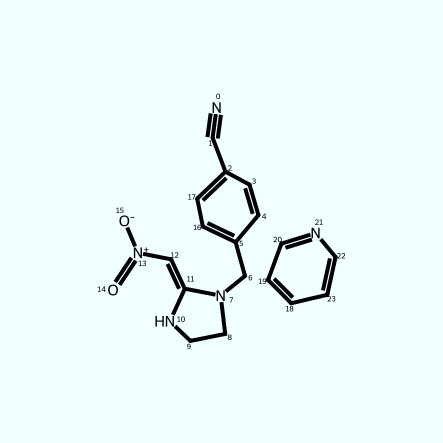 N#Cc1ccc(CN2CCNC2=C[N+](=O)[O-])cc1.c1ccncc1